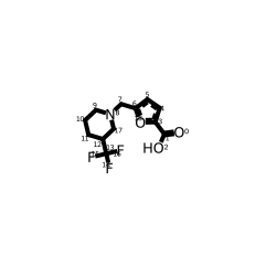 O=C(O)c1ccc(CN2CCCC(C(F)(F)F)C2)o1